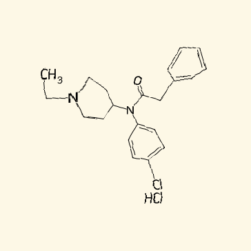 CCN1CCC(N(C(=O)Cc2ccccc2)c2ccc(Cl)cc2)CC1.Cl